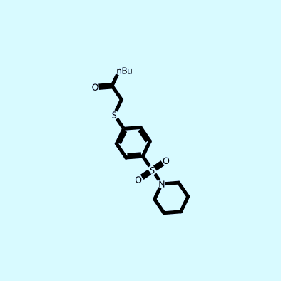 CCCCC(=O)CSc1ccc(S(=O)(=O)N2CCCCC2)cc1